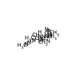 COc1cc(N2CCC(N3CCN(C)CC3)CC2)c(C(C)C)cc1Nc1ncc(C#N)c(Nc2ccc3nccnc3c2N(C)SC)n1